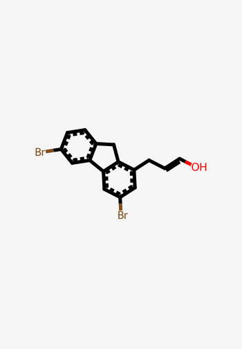 OC=CCc1cc(Br)cc2c1Cc1ccc(Br)cc1-2